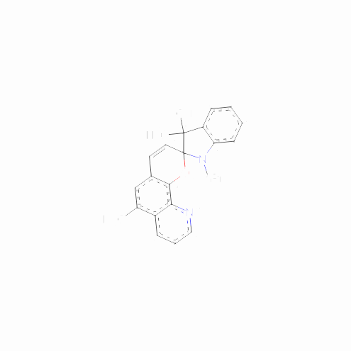 CCCN1c2ccccc2C(C)(C)C12C=Cc1cc(C)c3cccnc3c1O2